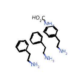 NC(=O)O.NCCc1ccccc1.NCCc1ccccc1.NCCc1ccccc1